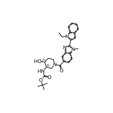 CCn1c(-c2nc3cc(C(=O)N4CC[C@H](O)[C@H](NC(=O)OC(C)(C)C)C4)ccc3n2C)cc2ccccc21